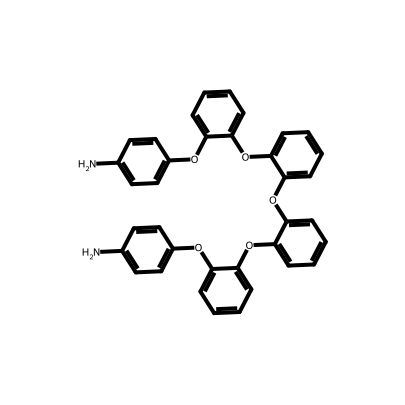 Nc1ccc(Oc2ccccc2Oc2ccccc2Oc2ccccc2Oc2ccccc2Oc2ccc(N)cc2)cc1